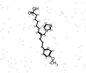 COc1ccc(CCC/C(=C/CCCCCC(=O)O)Cn2ccnc2)cc1